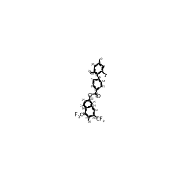 Cc1cc(C)c(-c2ccc(C(=O)Oc3ccc4c(C(F)(F)F)c(C)c(C(F)(F)F)cc4c3)cc2)c(C)c1